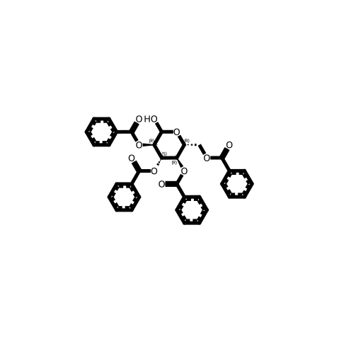 O=C(OC[C@H]1OC(O)[C@H](OC(=O)c2ccccc2)[C@@H](OC(=O)c2ccccc2)[C@@H]1OC(=O)c1ccccc1)c1ccccc1